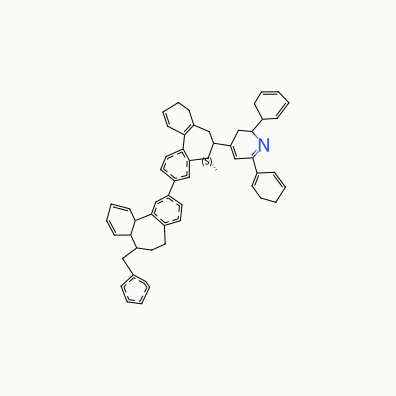 C[C@@H]1c2cc(-c3ccc4c(c3)C3C=CC=CC3C(Cc3ccccc3)CC4)ccc2C2=C(CCC=C2)CC1C1=CC(C2=CCCC=C2)=NC(C2C=CC=CC2)C1